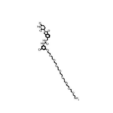 NCCOCCOCCOCCOCCOCCOCCOCCOCCOc1cc(Cl)cc(NC(=O)NCc2ccc3c(c2)CN(C2CCC(=O)NC2=O)C3=O)c1